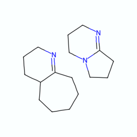 C1CCC2=NCCCC2CC1.C1CN=C2CCCN2C1